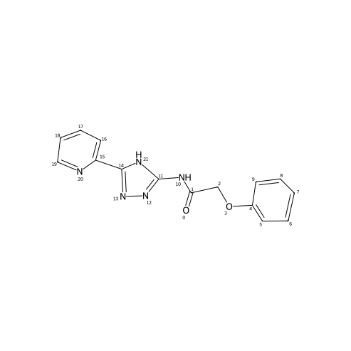 O=C(COc1ccccc1)Nc1nnc(-c2ccccn2)[nH]1